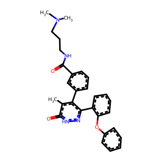 Cc1c(-c2cccc(C(=O)NCCCN(C)C)c2)c(-c2ccccc2Oc2ccccc2)n[nH]c1=O